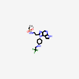 CCS(=O)(=O)NCCc1nc2cnc3[nH]ccc3c2n1[C@H]1CC[C@H](NCC(F)(F)F)CC1